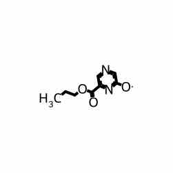 CCCOC(=O)c1cncc([O])n1